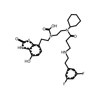 O=C(O)N(CCc1ccc(O)c2[nH]c(=O)sc12)CCN(C(=O)CCNCCc1cc(F)cc(F)c1)C1CCCCC1